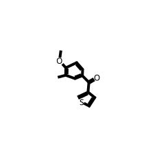 COc1ccc(C(=O)c2ccsc2)cc1C